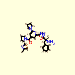 Cc1csc([C@H]2CCCN2C(=O)c2cc(-c3nnc([C@](C)(N)Cc4ccccc4)o3)nc(N3CCCC3)c2)n1